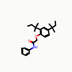 CCC(C)(C)c1ccc(OCC(=O)Nc2ccccc2)c(C(C)(C)CC)c1